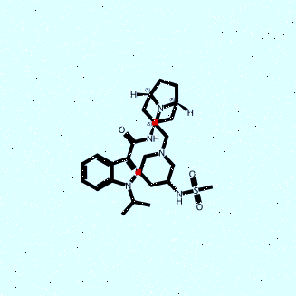 CC(C)n1nc(C(=O)N[C@@H]2C[C@H]3CC[C@@H](C2)N3CCN2CCCC(NS(C)(=O)=O)C2)c2ccccc21